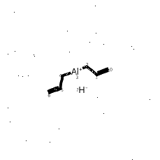 C=C[CH2][Al+][CH2]C=C.[H-]